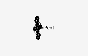 CCCCCc1ccc2c(OC(=O)c3ccc4ccccc4c3)c3ccccc3c(OC(=O)c3ccc4ccccc4c3)c2c1